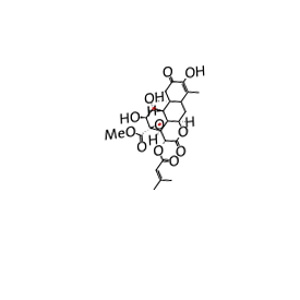 COC(=O)[C@@]12OC[C@@]34[C@@H](CC5C(C)=C(O)C(=O)C[C@]5(C)[C@H]3[C@@H](O)[C@@H]1O)OC(=O)[C@H](OC(=O)C=C(C)C)[C@@H]24